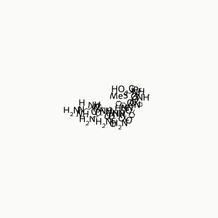 CSCC[C@H](NC(=O)[C@H](CC(C)C)NC(=O)[C@@H]1CCCN1C(=O)[C@H](Cc1ccccc1)NC(=O)[C@H](Cc1ccccc1)NC(=O)[C@H](CCC(N)=O)NC(=O)[C@H](CCC(N)=O)NC(=O)[C@@H]1CCCN1C(=O)[C@H](CCCCN)NC(=O)[C@@H]1CCCN1C(=O)[C@@H](N)CCCNC(=N)N)C(=O)O